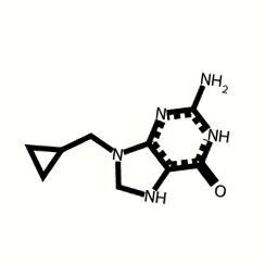 Nc1nc2c(c(=O)[nH]1)NCN2CC1CC1